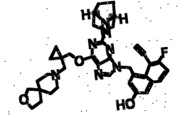 C#Cc1c(F)ccc2cc(O)cc(Cn3cnc4c(OCC5(CN6CCC7(CCOC7)CC6)CC5)nc(N5C[C@H]6CC[C@@H](C5)N6)nc43)c12